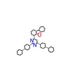 c1ccc(-c2ccc(-c3cc(-c4cccc5c4oc4ccccc45)nc(-c4ccc(-c5ccccc5)cc4)n3)cc2)cc1